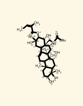 C/C=C(/C)C(=O)O[C@H]1[C@H](O)[C@@]2(COC(=O)C(C)CC)C(C[C@]1(O)S)C1=CCC3[C@@]4(C)CC[C@H](O)[C@@](C)(S)C4CC[C@@]3(C)[C@]1(S)[C@@H](O)[C@H]2O